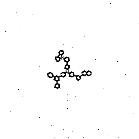 c1ccc(-c2cc(-c3ccccc3)cc(-c3ccc(N(c4ccc(-c5cccc(-c6ccc7ccccc7c6)c5)cc4)c4ccc(-c5cccc(-n6c7ccccc7c7ccccc76)c5)cc4)cc3)c2)cc1